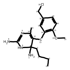 CCCCC1(N)NC(N)=NC(C)=C1Sc1cc(CCl)ccc1OC